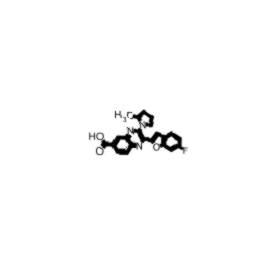 CC1CCCN1c1nc2cc(C(=O)O)ccc2nc1-c1cc2ccc(F)cc2o1